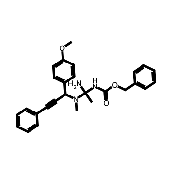 COc1ccc(C(C#Cc2ccccc2)N(C)C(C)(N)NC(=O)OCc2ccccc2)cc1